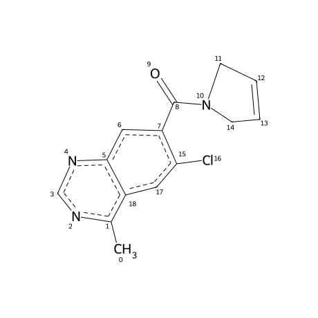 Cc1ncnc2cc(C(=O)N3CC=CC3)c(Cl)cc12